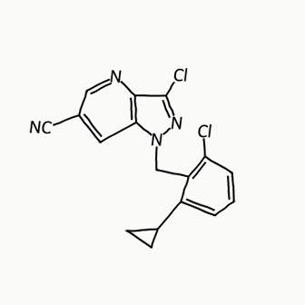 N#Cc1cnc2c(Cl)nn(Cc3c(Cl)cccc3C3CC3)c2c1